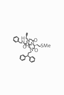 C#CCN1CC(=O)N2[C@@H](CCSC)C(=O)N(CCC(c3ccccc3)c3ccccc3)C[C@@H]2N1C(=O)NCc1ccccc1